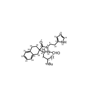 CCCCC(CC)CNC1(C(=O)N(CCc2cnc[nH]2)NC=O)CCc2ccccc2C1